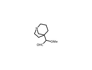 COC(C=O)C12CCCN(CC1)C2